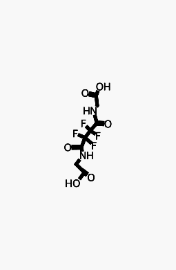 O=C(O)CNC(=O)C(F)(F)C(F)(F)C(=O)NCC(=O)O